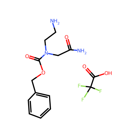 NCCN(CC(N)=O)C(=O)OCc1ccccc1.O=C(O)C(F)(F)F